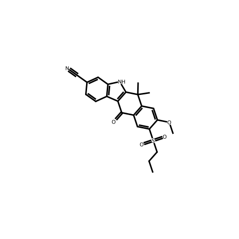 CCCS(=O)(=O)c1cc2c(cc1OC)C(C)(C)c1[nH]c3cc(C#N)ccc3c1C2=O